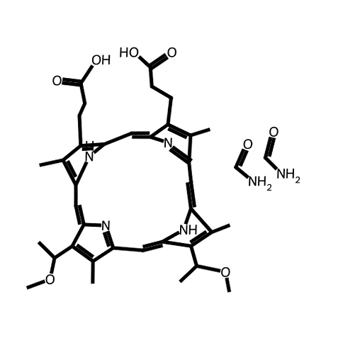 COC(C)C1=C(C)c2cc3[nH]c(cc4nc(cc5[nH]c(cc1n2)c(C)c5CCC(=O)O)C(CCC(=O)O)=C4C)c(C)c3C(C)OC.NC=O.NC=O